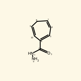 NNC(=O)C1=CC=CCC=C1